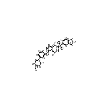 CCn1c(C(C)NS(=O)(=O)c2ccc3c(c2)CCC3)cnc1Oc1cccc(N2CCN(C)CC2)c1